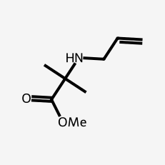 C=CCNC(C)(C)C(=O)OC